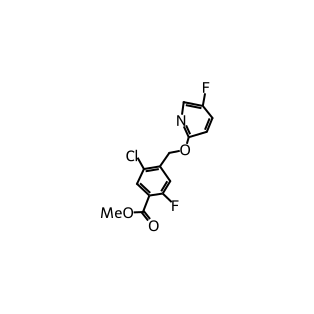 COC(=O)c1cc(Cl)c(COc2ccc(F)cn2)cc1F